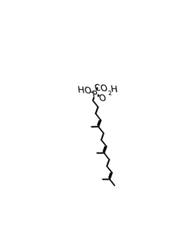 CC(C)=CCC/C(C)=C/CC/C(C)=C/CCCP(=O)(O)C(=O)O